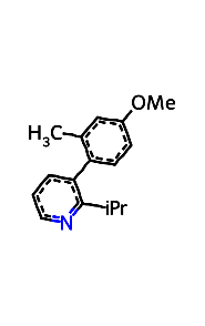 COc1ccc(-c2cccnc2C(C)C)c(C)c1